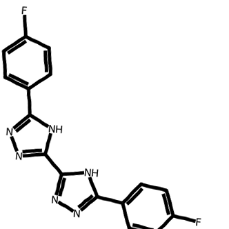 Fc1ccc(-c2nnc(-c3nnc(-c4ccc(F)cc4)[nH]3)[nH]2)cc1